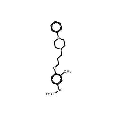 CCOC(=O)Nc1ccc(OCCCN2CCN(c3ccccc3)CC2)c(OC)c1